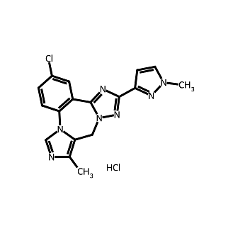 Cc1ncn2c1Cn1nc(-c3ccn(C)n3)nc1-c1cc(Cl)ccc1-2.Cl